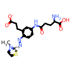 Cn1ccs[c+]1N=Nc1ccc(NC(=O)CCC(N)C(=O)O)cc1CCC(=O)[O-]